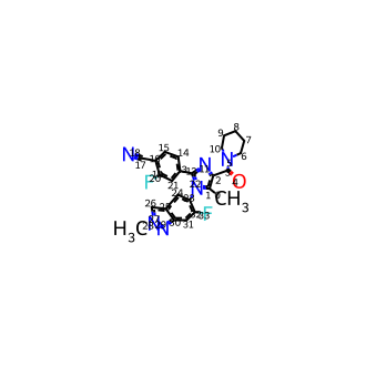 Cc1c(C(=O)N2CCCCC2)nc(-c2ccc(C#N)c(F)c2)n1-c1cc2cn(C)nc2cc1F